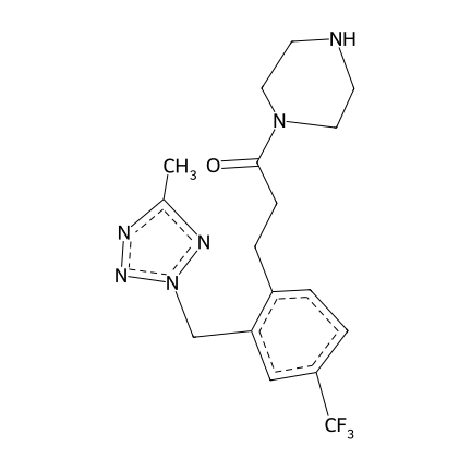 Cc1nnn(Cc2cc(C(F)(F)F)ccc2CCC(=O)N2CCNCC2)n1